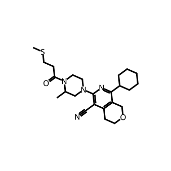 CSCCC(=O)N1CCN(c2nc(C3CCCCC3)c3c(c2C#N)CCOC3)CC1C